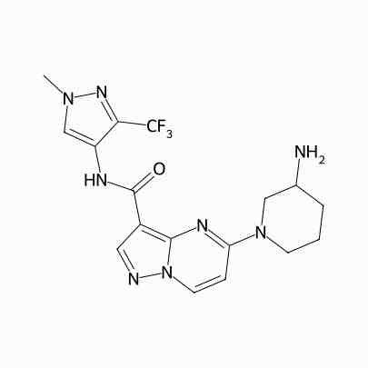 Cn1cc(NC(=O)c2cnn3ccc(N4CCCC(N)C4)nc23)c(C(F)(F)F)n1